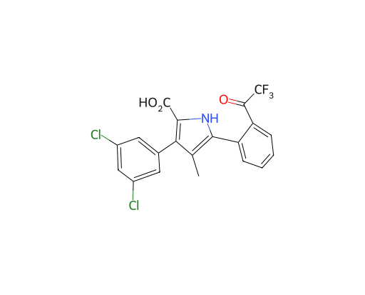 Cc1c(-c2ccccc2C(=O)C(F)(F)F)[nH]c(C(=O)O)c1-c1cc(Cl)cc(Cl)c1